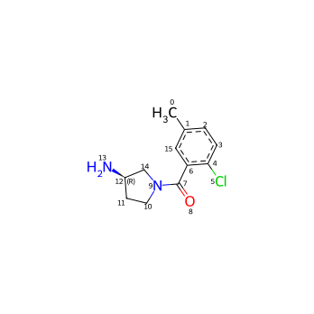 Cc1ccc(Cl)c(C(=O)N2CC[C@@H](N)C2)c1